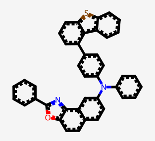 c1ccc(-c2nc3c(ccc4ccc(N(c5ccccc5)c5ccc(-c6cccc7sc8ccccc8c67)cc5)cc43)o2)cc1